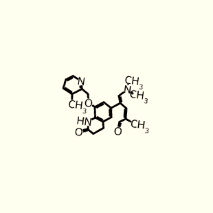 C/C(C=O)=C/C(=C\N(C)C)c1cc2c(c(OCc3ncccc3C)c1)NC(=O)CC2